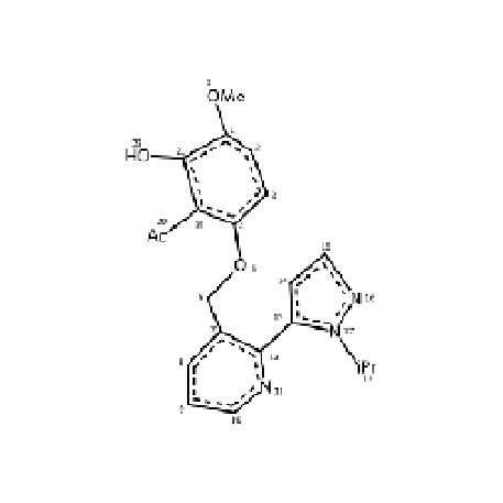 COc1ccc(OCc2cccnc2-c2ccnn2C(C)C)c(C(C)=O)c1O